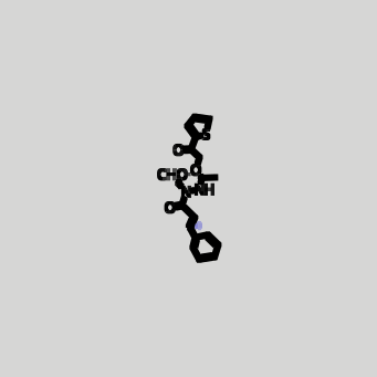 CC(NN(C[C]=O)C(=O)/C=C/c1ccccc1)OCC(=O)c1cccs1